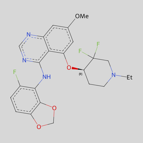 CCN1CC[C@@H](Oc2cc(OC)cc3ncnc(Nc4c(F)ccc5c4OCO5)c23)C(F)(F)C1